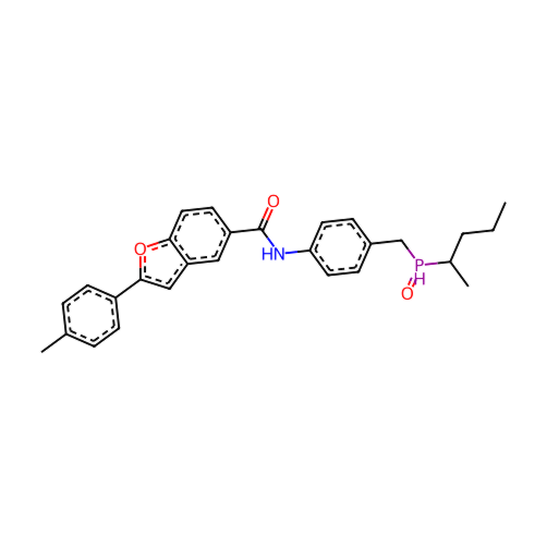 CCCC(C)[PH](=O)Cc1ccc(NC(=O)c2ccc3oc(-c4ccc(C)cc4)cc3c2)cc1